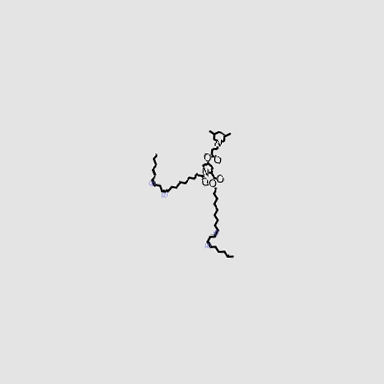 CCCCC/C=C\C/C=C\CCCCCCCCOC(=O)C1CC(OC(=O)CCN2CC(C)CC(C)C2)CN1C(=O)CCCCCCC/C=C\C/C=C\CCCCC